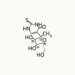 C[C@@]1(c2c[nH]c(=S)[nH]c2=O)O[C@H](CO)[C@@H](O)[C@H]1O